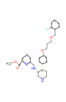 COC(=O)c1cccc(CN[C@H]2CNCC[C@H]2c2ccc(OCCCOCc3ccccc3F)cc2)n1